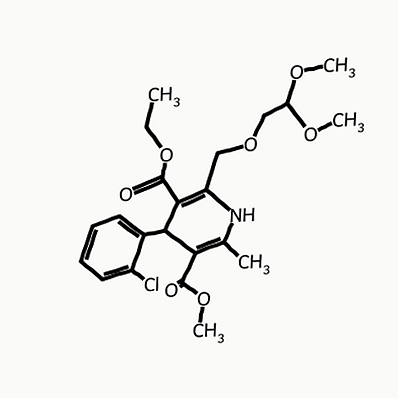 CCOC(=O)C1=C(COCC(OC)OC)NC(C)=C(C(=O)OC)C1c1ccccc1Cl